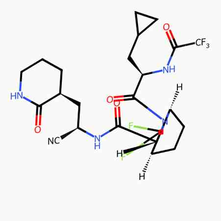 N#C[C@@H](C[C@@H]1CCCNC1=O)NC(=O)[C@H]1[C@@H]2CC[C@@H](CC2(F)F)N1C(=O)[C@@H](CC1CC1)NC(=O)C(F)(F)F